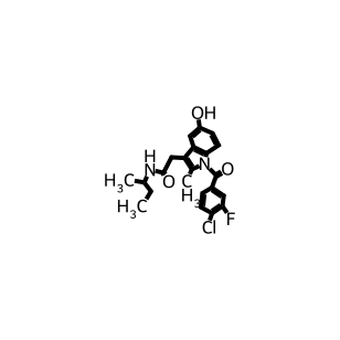 CCC(C)NC(=O)Cc1c(C)n(C(=O)c2ccc(Cl)c(F)c2)c2ccc(O)cc12